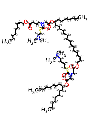 CCCCCC/C=C\COC(=O)CCCN(CC(=O)OC(CCCCCCC)CCCCCCCCCCCCC/C=C\COC(=O)CN(CC(=O)OC(CCCCCCCC)CCCCCCCC)C(=O)SCCCCN(C)C)C(=O)SCCN(C)C